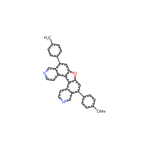 COc1ccc(-c2cc3oc4cc(-c5ccc(C)cc5)c5cnccc5c4c3c3ccncc23)cc1